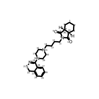 O=C1[C@H]2CCCC[C@H]2C(=O)N1CCCCN1CCN(C2=NSCc3ccccc32)CC1